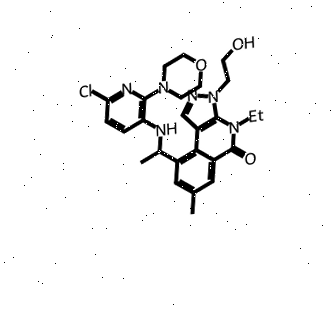 CCn1c(=O)c2cc(C)cc(C(C)Nc3ccc(Cl)nc3N3CCOCC3)c2c2cnn(CCO)c21